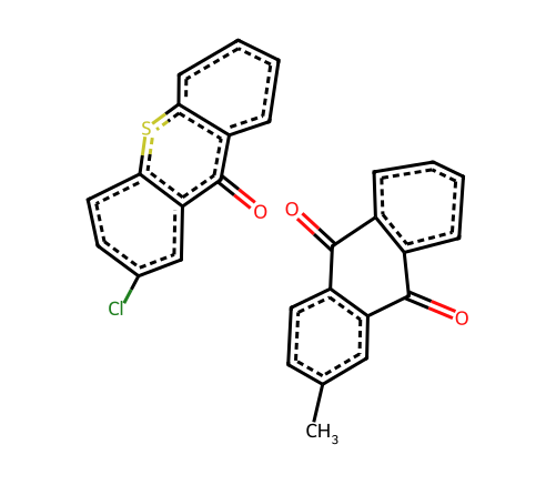 Cc1ccc2c(c1)C(=O)c1ccccc1C2=O.O=c1c2ccccc2sc2ccc(Cl)cc12